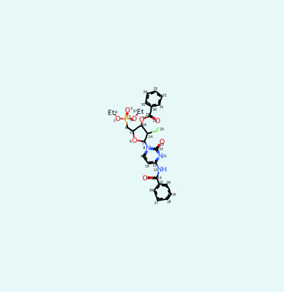 CCOP(=O)(CC1OC(n2ccc(NC(=O)c3ccccc3)nc2=O)C(F)C1OC(=O)c1ccccc1)OCC